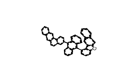 c1ccc2cc3c(ccc4cc(-c5c6ccccc6c(-c6cccc7oc8cc9ccccc9cc8c67)c6ccccc56)ccc43)cc2c1